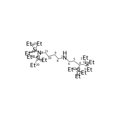 CC[Si](CC)(CC)C(CCNCCCCN([Si](CC)(CC)CC)[Si](CC)(CC)CC)[Si](CC)(CC)CC